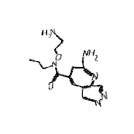 CCCN(OCCN)C(=O)C1=Cc2cnncc2N=C(N)C1